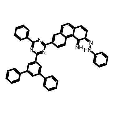 N=C1/C(=N\Nc2ccccc2)C=Cc2ccc3cc(-c4nc(-c5ccccc5)nc(-c5cc(-c6ccccc6)cc(-c6ccccc6)c5)n4)ccc3c21